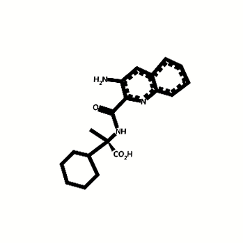 C[C@@](NC(=O)c1nc2ccccc2cc1N)(C(=O)O)C1CCCCC1